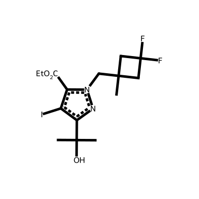 CCOC(=O)c1c(I)c(C(C)(C)O)nn1CC1(C)CC(F)(F)C1